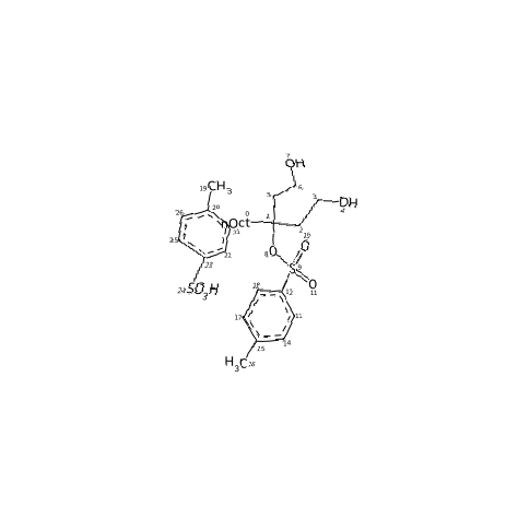 CCCCCCCCC(CCO)(CCO)OS(=O)(=O)c1ccc(C)cc1.Cc1ccc(S(=O)(=O)O)cc1